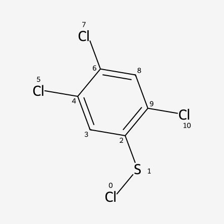 ClSc1cc(Cl)c(Cl)cc1Cl